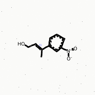 C/C(=C\CO)c1cccc([N+](=O)[O-])c1